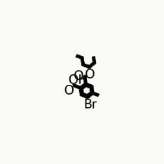 CCCC(CC)OC(=O)c1cc(C)c(Br)cc1C(=O)O